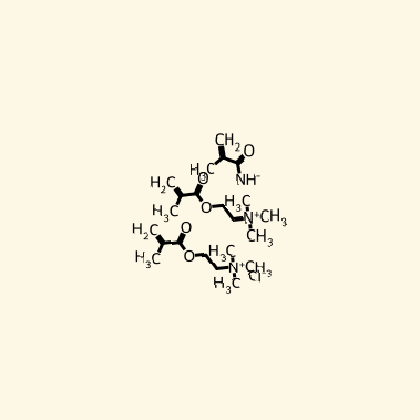 C=C(C)C(=O)OCC[N+](C)(C)C.C=C(C)C(=O)OCC[N+](C)(C)C.C=C(C)C([NH-])=O.[Cl-]